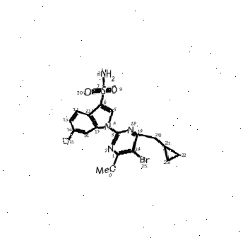 COc1nc(-n2cc(S(N)(=O)=O)c3ccc(Cl)cc32)nc(CC2CC2)c1Br